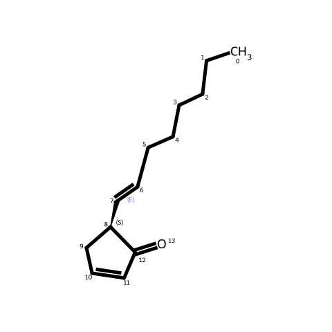 CCCCCC/C=C/[C@@H]1CC=CC1=O